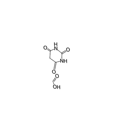 O=C1CC(=O)NC(=O)N1.O=CO